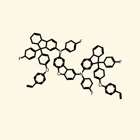 C=Cc1ccc(OC2=CC=C(C3(C4=CCC(F)C=C4)C4C=C(N(C5=CC=C(F)CC5)c5ccc6c(c5)C5C=C(N(C7=CC=C(F)CC7)c7ccc8c(c7)C(C7=CC=C(Oc9ccc(C=C)cc9)CC7)(C7C=CC(F)=CC7)C7C=CC=CC87)C=CC5O6)C=CC4C4C=CCCC43)CC2)cc1